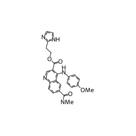 CNC(=O)c1ccc2ncc(C(=O)OCCc3ncc[nH]3)c(Nc3ccc(OC)cc3)c2c1